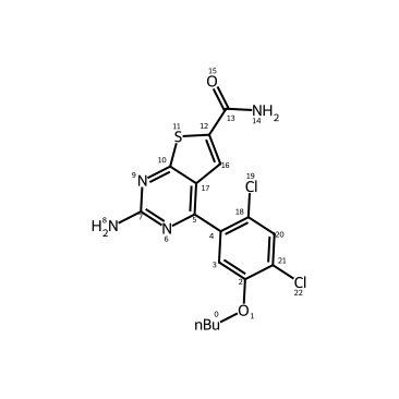 CCCCOc1cc(-c2nc(N)nc3sc(C(N)=O)cc23)c(Cl)cc1Cl